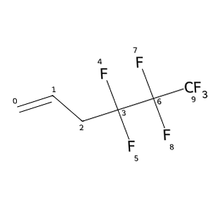 C=CCC(F)(F)C(F)(F)C(F)(F)F